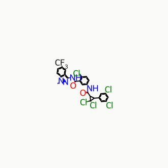 Cn1nc(NC(=O)c2cc(NC(=O)C3C(c4cc(Cl)cc(Cl)c4)C3(Cl)Cl)ccc2Cl)c2cc(C(F)(F)F)ccc21